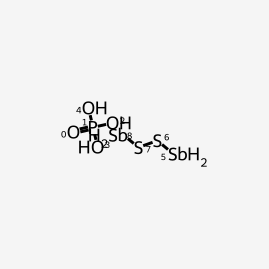 O=P(O)(O)O.[SbH2][S][S][SbH2]